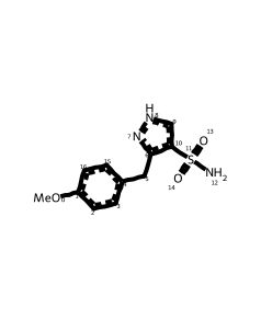 COc1ccc(Cc2n[nH]cc2S(N)(=O)=O)cc1